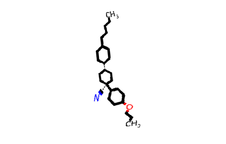 CCCCCC1CCC([C@H]2CC[C@](C#N)(C3CCC(OCCC)CC3)CC2)CC1